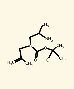 C=C(C)CN(CC(C)N)C(=O)OC(C)(C)C